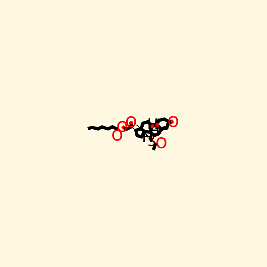 CCCCCCC(=O)OCC(=O)[C@H]1CC[C@H]2[C@@H]3[C@H](SC(C)=O)CC4=CC(=O)CC[C@]4(C)[C@H]3CC[C@]12C